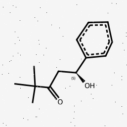 CC(C)(C)C(=O)C[C@H](O)c1ccccc1